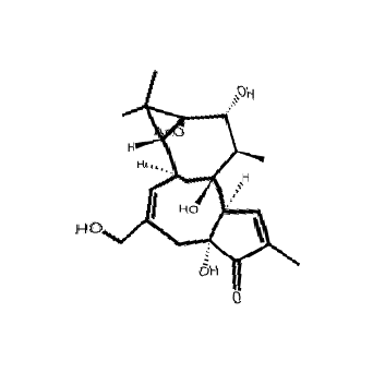 CC(=O)O[C@@]12[C@H](O)[C@@H](C)[C@]3(O)[C@H]4C=C(C)C(=O)[C@@]4(O)CC(CO)=C[C@H]3[C@@H]1C2(C)C